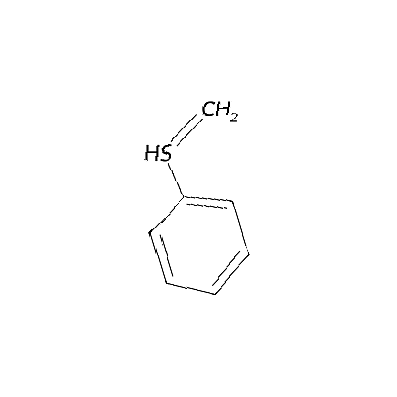 C=[SH]c1ccccc1